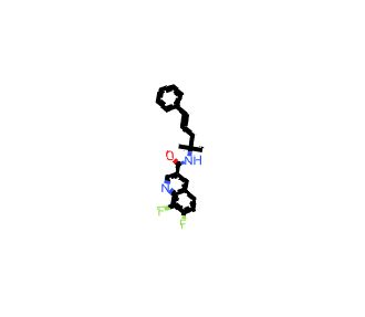 CC(C)(C/C=C/c1ccccc1)NC(=O)c1cnc2c(F)c(F)ccc2c1